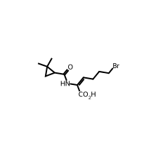 CC1(C)CC1C(=O)NC(=CCCCBr)C(=O)O